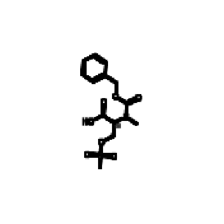 CN(C(=O)OCc1ccccc1)[C@@H](COS(C)(=O)=O)C(=O)O